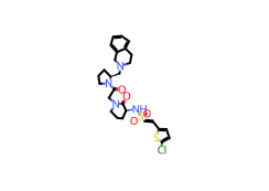 O=C1[C@@H](NS(=O)(=O)/C=C/c2ccc(Cl)s2)CCCN1CC(=O)N1CCC[C@H]1CN1CCc2ccccc2C1